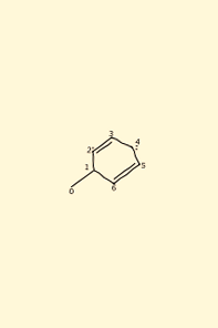 CC1[C]=C[C]C=C1